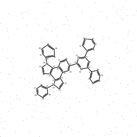 c1ccc(-c2cc(-c3ccccc3)nc(-c3ccc4c(c3)c3ccn(-c5ccccc5)c3c3ccn(-c5ccccc5)c43)n2)cc1